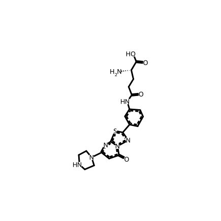 N[C@@H](CCC(=O)Nc1cccc(-c2nn3c(=O)cc(N4CCNCC4)nc3s2)c1)C(=O)O